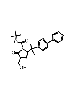 CC(C)(C)OC(=O)N1C(=O)C(CO)CC1C(C)(C)c1ccc(-c2ccccc2)cc1